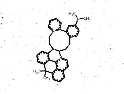 CN(C)c1ccc2c(c1)-c1cccc[n+]1CCC1c3cccc4c3-c3c5c(cccc5cc[n+]3C1CC2)C4(C)C